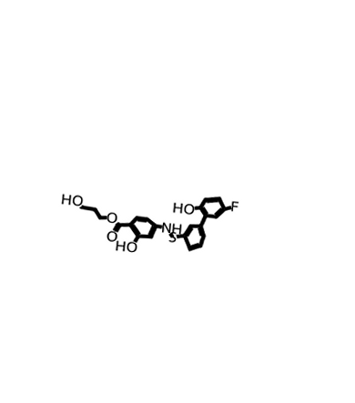 O=C(OCCCO)c1ccc(NSc2cccc(-c3cc(F)ccc3O)c2)cc1O